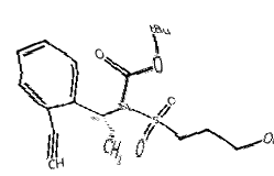 C#Cc1ccccc1[C@@H](C)N(C(=O)OC(C)(C)C)S(=O)(=O)CCCO